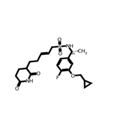 C[C@@H](NS(=O)(=O)CC=CCCC1CCC(=O)NC1=O)c1ccc(F)c(OCC2CC2)c1